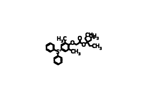 CCC(CC)(CC)OC(=O)COc1c(C)cc([S+](c2ccccc2)c2ccccc2)cc1C